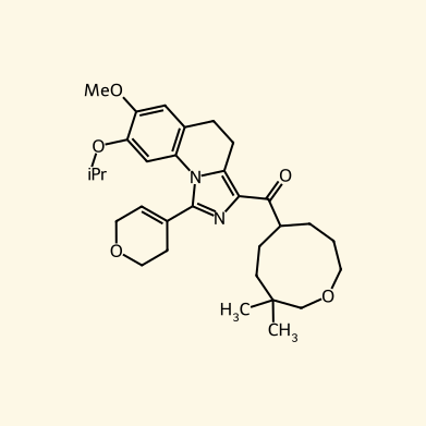 COc1cc2c(cc1OC(C)C)-n1c(C3=CCOCC3)nc(C(=O)C3CCCOCC(C)(C)CC3)c1CC2